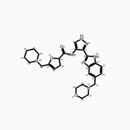 O=C(Nc1c[nH]nc1-c1nc2cc(CN3CCOCC3)ccc2[nH]1)C1CC=C(CN2CCCCC2)O1